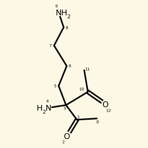 CC(=O)C(N)(CCCCN)C(C)=O